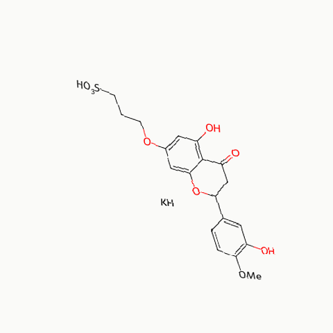 COc1ccc(C2CC(=O)c3c(O)cc(OCCCS(=O)(=O)O)cc3O2)cc1O.[KH]